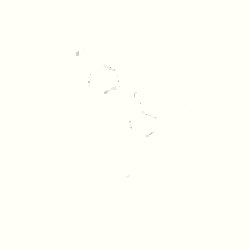 Cc1cc(OCC=C(Cl)Cl)ccc1Oc1ccc(OC(C)C)cc1